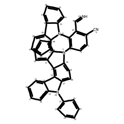 N#Cc1ccc(-n2c3ccccc3c3c4c5ccccc5n(-c5ccccc5)c4ccc32)c(-n2c3ccccc3c3ccccc32)c1C=N